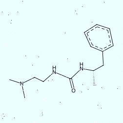 [CH2][C@@H](Cc1ccccc1)NC(=O)NCCN(C)C